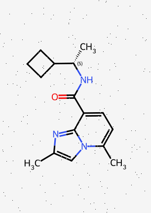 Cc1cn2c(C)ccc(C(=O)N[C@@H](C)C3CCC3)c2n1